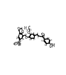 CCOc1cc(C=CC(=O)c2ccc(O)cc2)ccc1OCc1cc([N+](=O)[O-])cc2c1OCOC2